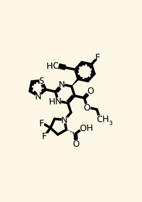 C#Cc1cc(F)ccc1[C@@H]1N=C(c2nccs2)NC(CN2CC(F)(F)C[C@H]2C(=O)O)=C1C(=O)OCC